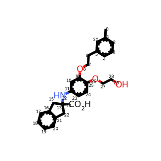 Cc1cccc(CCOc2cc(NC3(C(=O)O)Cc4ccccc4C3)ccc2OCCO)c1